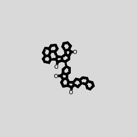 O=c1c2cc(-c3cc4c(=O)c5ccccc5c4c4c3c(=O)c3c5cccc6ccc7cccc(c7c65)c34)ccc2c2c1ccc1c(=O)c3cc4c(ccc5ccccc54)cc3c12